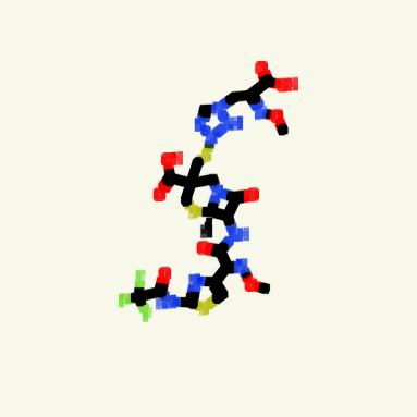 CON=C(CN1C=NN(SCC2(C(=O)O)CS[C@@H]3C(NC(=O)C(=NOC)c4csc(NC(=O)C(F)(F)F)n4)C(=O)N3C2)N1)C(=O)O